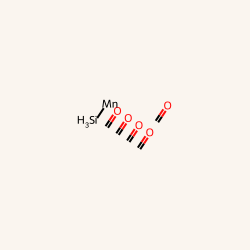 C=O.C=O.C=O.C=O.C=O.[SiH3][Mn]